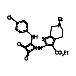 CCOC(=O)c1c(Nc2c(Nc3ccc(Cl)cc3)c(=O)c2=O)sc2c1CCN(CC)C2